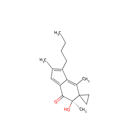 CCCCC1=C(C)C=C2C(=O)[C@](C)(O)C3(CC3)C(C)=C21